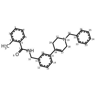 Cc1ccccc1C(=O)NCc1cccc(C2=CCN(Cc3ccccc3)CC2)c1